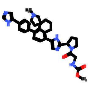 COC(=O)NCC(=O)N1CCCC1c1ncc(-c2ccc(-c3ccc(-c4cnc[nH]4)cc3)c3c2CCCC32CCN(C)C2)[nH]1